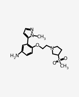 Cn1nccc1-c1cc(N)ccc1OCCN1CCC(S(C)(=O)=O)C1